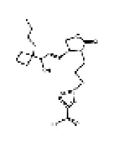 CCCCC1([C@H](O)/C=C/[C@H]2COC(=O)N2CCSc2nc(C(=O)O)cs2)CCC1